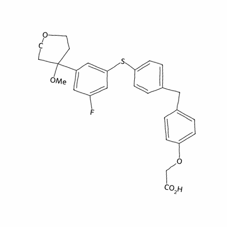 COC1(c2cc(F)cc(Sc3ccc(Cc4ccc(OCC(=O)O)cc4)cc3)c2)CCOCC1